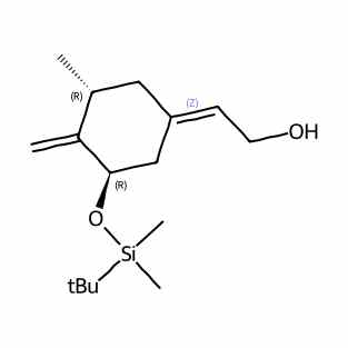 C=C1[C@H](C)C/C(=C/CO)C[C@H]1O[Si](C)(C)C(C)(C)C